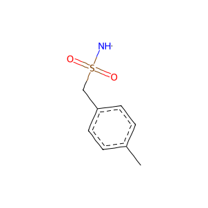 Cc1ccc(CS([NH])(=O)=O)cc1